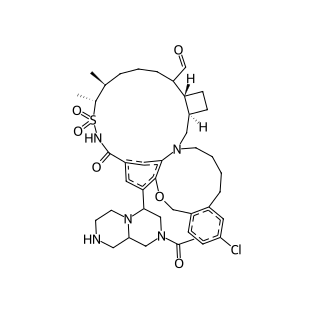 CC(=O)N1CC2CNCCN2C(c2cc3cc4c2OCc2ccc(Cl)cc2CCCCN4C[C@@H]2CC[C@H]2C(C=O)CCC[C@H](C)[C@@H](C)S(=O)(=O)NC3=O)C1